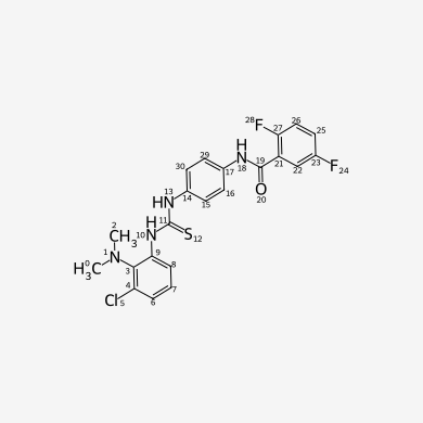 CN(C)c1c(Cl)cccc1NC(=S)Nc1ccc(NC(=O)c2cc(F)ccc2F)cc1